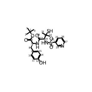 CC(C)(C)OC(=O)[C@H](Cc1ccc(O)cc1)NC(=O)[C@@H](NS(=O)(=O)c1cccnc1)C(C)(C)S